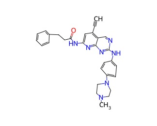 C#Cc1cc(NC(=O)CCc2ccccc2)nc2nc(Nc3ccc(N4CCN(C)CC4)cc3)ncc12